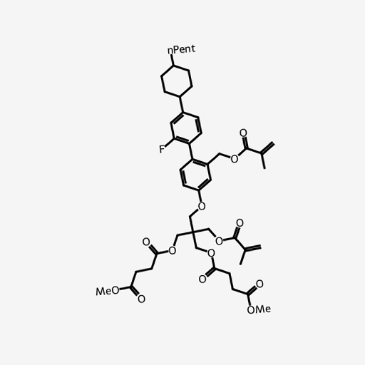 C=C(C)C(=O)OCc1cc(OCC(COC(=O)CCC(=O)OC)(COC(=O)CCC(=O)OC)COC(=O)C(=C)C)ccc1-c1ccc(C2CCC(CCCCC)CC2)cc1F